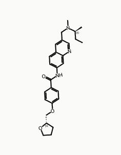 CC[C@H](C)N(C)Cc1cnc2cc(NC(=O)c3ccc(OC[C@@H]4CCCO4)cc3)ccc2c1